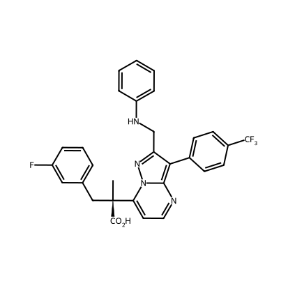 C[C@](Cc1cccc(F)c1)(C(=O)O)c1ccnc2c(-c3ccc(C(F)(F)F)cc3)c(CNc3ccccc3)nn12